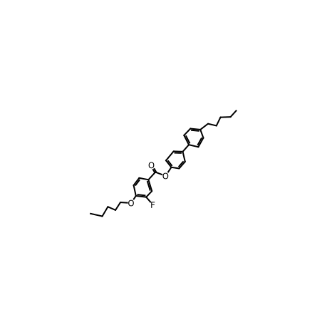 CCCCCOc1ccc(C(=O)Oc2ccc(-c3ccc(CCCCC)cc3)cc2)cc1F